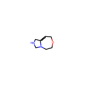 C1=C2CNCN2CCOC1